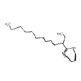 CCCCCCCCCCC(CC)C1=NCCN1